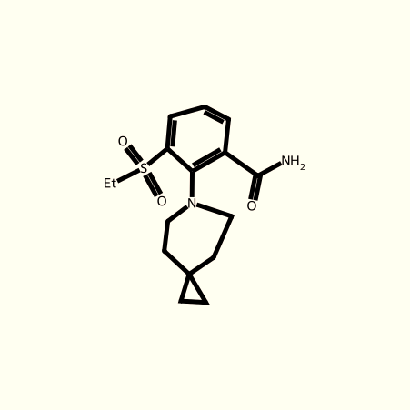 CCS(=O)(=O)c1cccc(C(N)=O)c1N1CCC2(CC1)CC2